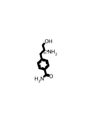 NC(=O)c1ccc(C[C@@H](N)CO)cc1